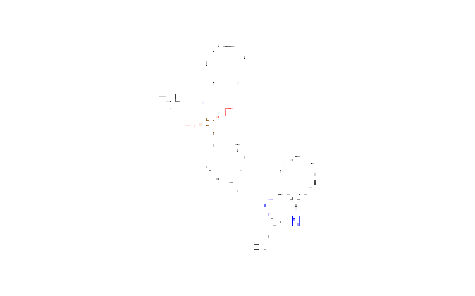 CCc1nc2ccccc2n1Cc1ccc(S(=O)(=O)N(C)C2CCCCC2)cc1